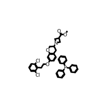 COC(=O)C1CN(C2COc3cc(OCCc4c(Cl)cccc4Cl)ccc3C2)C1.c1ccc(P(c2ccccc2)c2ccccc2)cc1